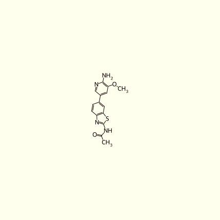 COc1cc(-c2ccc3nc(NC(C)=O)sc3c2)cnc1N